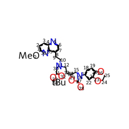 COc1ccc2nccc(CCN(CC[C@H]3CN(c4ccc5c(c4)OCCO5)C(=O)O3)CC(=O)OC(C)(C)C)c2n1